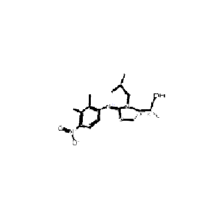 Cc1c(/N=C2\SC[C@@H]([C@@H](C)O)N2CC(C)C)ccc([N+](=O)[O-])c1C